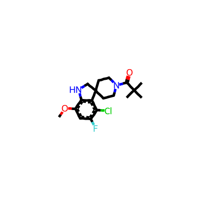 COc1cc(F)c(Cl)c2c1NCC21CCN(C(=O)C(C)(C)C)CC1